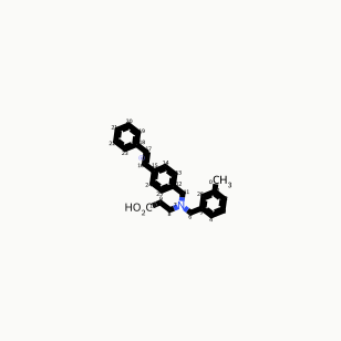 Cc1cccc(CN(CCC(=O)O)Cc2ccc(/C=C/c3ccccc3)cc2)c1